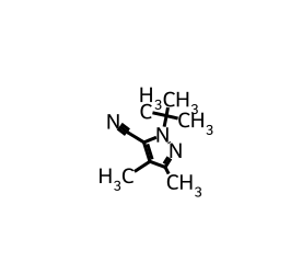 Cc1nn(C(C)(C)C)c(C#N)c1C